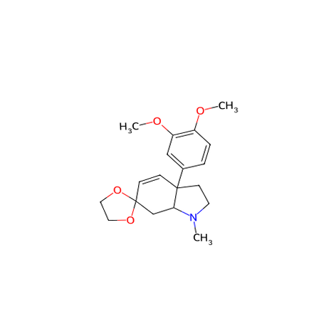 COc1ccc(C23C=CC4(CC2N(C)CC3)OCCO4)cc1OC